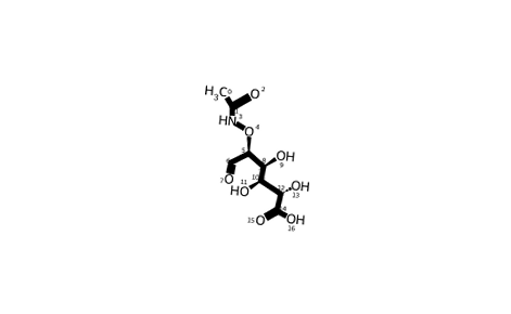 CC(=O)NO[C@H](C=O)[C@@H](O)[C@H](O)[C@H](O)C(=O)O